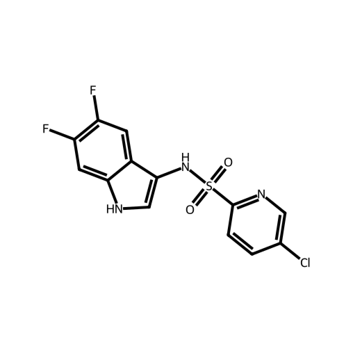 O=S(=O)(Nc1c[nH]c2cc(F)c(F)cc12)c1ccc(Cl)cn1